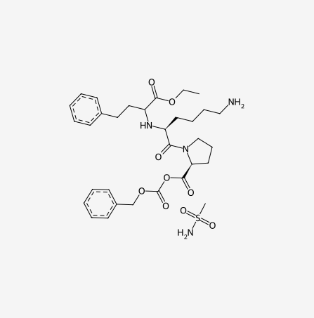 CCOC(=O)C(CCc1ccccc1)N[C@@H](CCCCN)C(=O)N1CCC[C@H]1C(=O)OC(=O)OCc1ccccc1.CS(N)(=O)=O